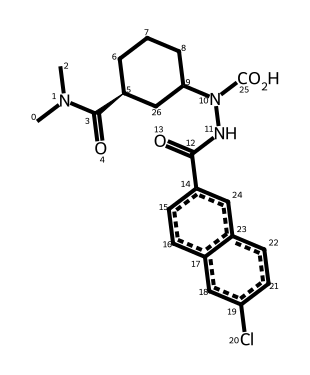 CN(C)C(=O)[C@H]1CCCC(N(NC(=O)c2ccc3cc(Cl)ccc3c2)C(=O)O)C1